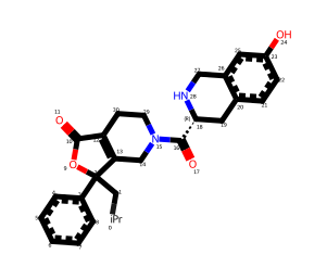 CC(C)CC1(c2ccccc2)OC(=O)C2=C1CN(C(=O)[C@H]1Cc3ccc(O)cc3CN1)CC2